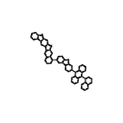 c1cc(-c2ccc3sc4cc(-c5c6ccccc6c(-c6cccc7ccccc67)c6ccccc56)ccc4c3c2)c2cc3sc4cc5sc6ccccc6c5cc4c3cc2c1